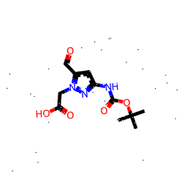 CC(C)(C)OC(=O)Nc1cc(C=O)n(CC(=O)O)n1